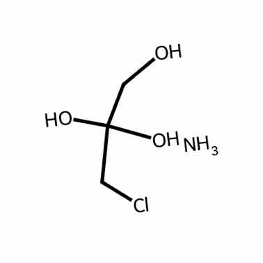 N.OCC(O)(O)CCl